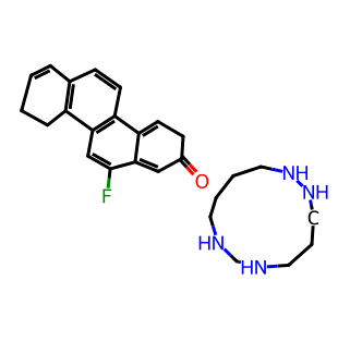 C1CCNNCCCNCNC1.O=C1C=c2c(F)cc3c4c(ccc3c2=CC1)C=CCC4